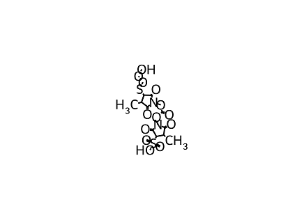 CC1C(=O)N(OC(=O)ON2C(=O)C(C)C(S(=O)(=O)O)C2=O)C(=O)C1SOOO